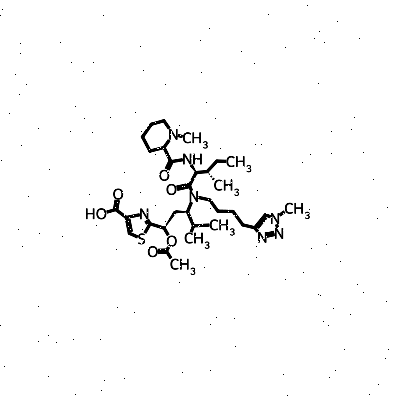 CC[C@H](C)[C@H](NC(=O)C1CCCCN1C)C(=O)N(CCCCc1cn(C)nn1)[C@H](C[C@@H](OC(C)=O)c1nc(C(=O)O)cs1)C(C)C